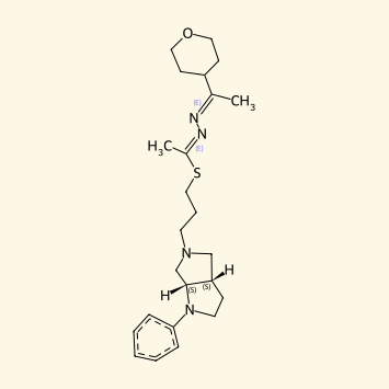 C/C(=N\N=C(/C)C1CCOCC1)SCCCN1C[C@@H]2CCN(c3ccccc3)[C@@H]2C1